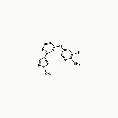 Cn1cc(-c2cc(Oc3cnc(N)c(F)c3)ccn2)cn1